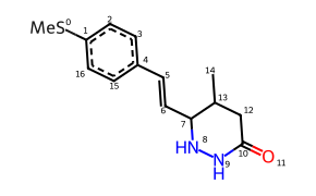 CSc1ccc(/C=C/C2NNC(=O)CC2C)cc1